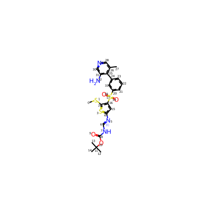 CSc1sc(/N=C/NC(=O)OC(C)(C)C)cc1S(=O)(=O)c1cccc(-c2c(C)cncc2N)c1